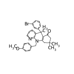 COc1ccc(CN2C3=C(C(=O)CC(C)(C)C3)C(C)(c3cccc(Br)c3)c3cccnc32)cc1